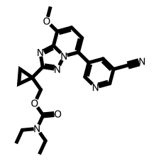 CCN(CC)C(=O)OCC1(c2nc3c(OC)ccc(-c4cncc(C#N)c4)n3n2)CC1